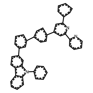 c1ccc(-c2cc(-c3ccc(-c4cccc(-c5ccc6c7ccccc7n(-c7ccccc7)c6c5)c4)cc3)cc(-c3ccccn3)n2)cc1